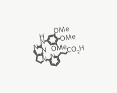 COc1cc(Nc2ncc3c(n2)N(c2cccc(CCC(=O)O)n2)CC3)cc(OC)c1OC